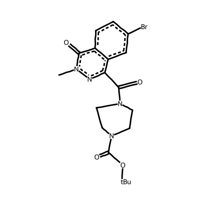 Cn1nc(C(=O)N2CCN(C(=O)OC(C)(C)C)CC2)c2cc(Br)ccc2c1=O